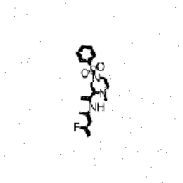 C=C(F)/C=C(\C)NC(=C)C1CN(S(=O)(=O)c2ccccc2)CCN1C